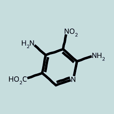 Nc1ncc(C(=O)O)c(N)c1[N+](=O)[O-]